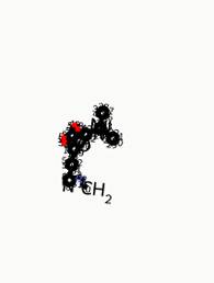 C=C/C=C\c1cnccc1-c1ccc(-c2ccc3c(c2)Oc2cc(-c4nc(-c5ccccc5)nc(-c5ccccc5)n4)ccc2C32c3ccccc3-c3ccccc32)cc1